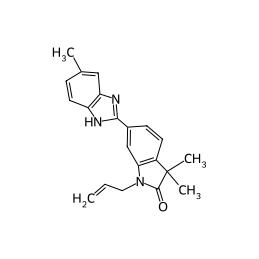 C=CCN1C(=O)C(C)(C)c2ccc(-c3nc4cc(C)ccc4[nH]3)cc21